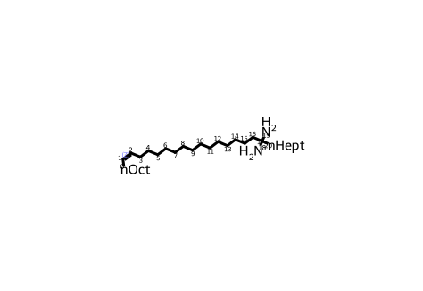 CCCCCCCC/C=C\CCCCCCCCCCCCCCC(N)(N)CCCCCCC